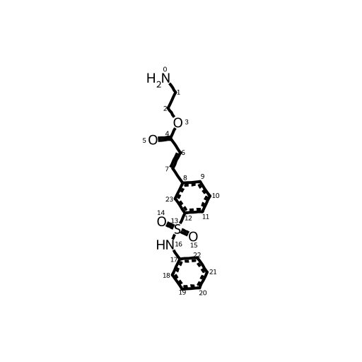 NCCOC(=O)/C=C/c1cccc(S(=O)(=O)Nc2ccccc2)c1